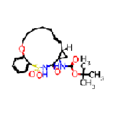 CC(C)(C)OC(=O)N[C@]12C[C@H]1/C=C/CCCCCOc1ccccc1S(=O)(=O)NC2=O